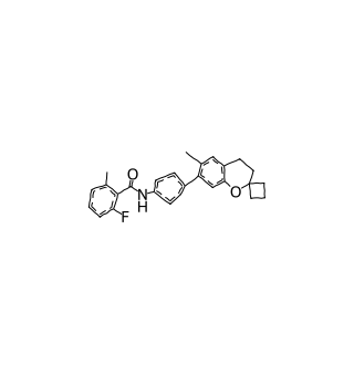 Cc1cc2c(cc1-c1ccc(NC(=O)c3c(C)cccc3F)cc1)OC1(CCC1)CC2